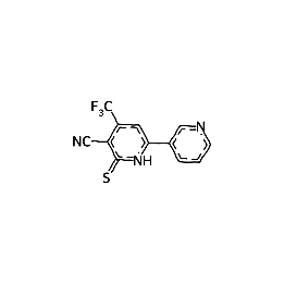 N#Cc1c(C(F)(F)F)cc(-c2cccnc2)[nH]c1=S